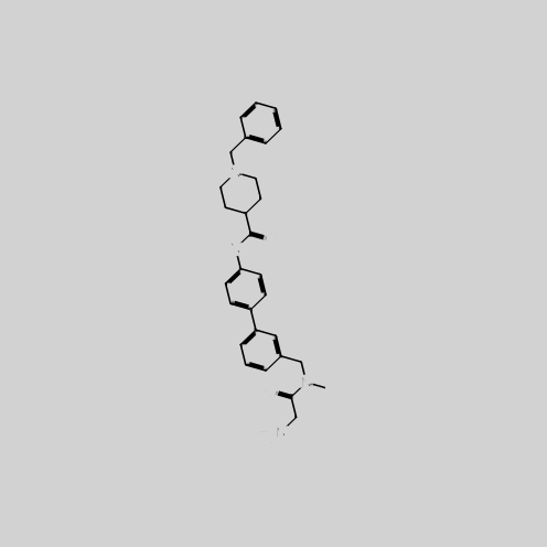 CN(Cc1cccc(-c2ccc(NC(=O)C3CCN(Cc4ccccc4)CC3)cc2)c1)C(=O)CN